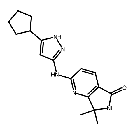 CC1(C)NC(=O)c2ccc(Nc3cc(C4CCCC4)[nH]n3)nc21